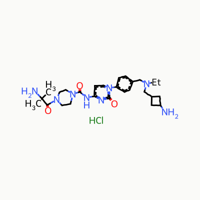 CCN(Cc1ccc(-n2ccc(NC(=O)N3CCN(C(=O)C(C)(C)N)CC3)nc2=O)cc1)CC1CC(N)C1.Cl